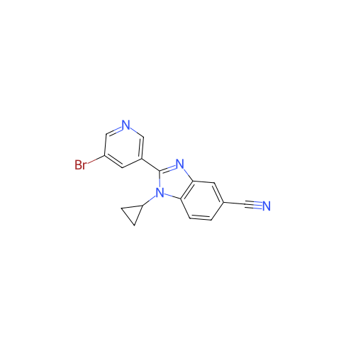 N#Cc1ccc2c(c1)nc(-c1cncc(Br)c1)n2C1CC1